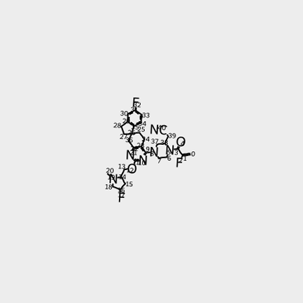 C=C(F)C(=O)N1CCN(c2nc(OCC3CC(F)CN3C)nc3c2CCC2(CCc4cc(F)ccc42)C3)CC1CC#N